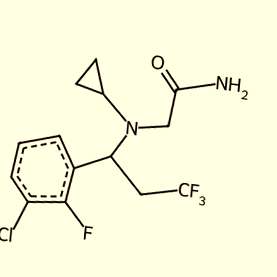 NC(=O)CN(C1CC1)C(CC(F)(F)F)c1cccc(Cl)c1F